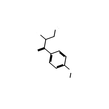 CC(=O)C(CC#N)C(=O)c1ccc(OC(F)(F)F)cc1